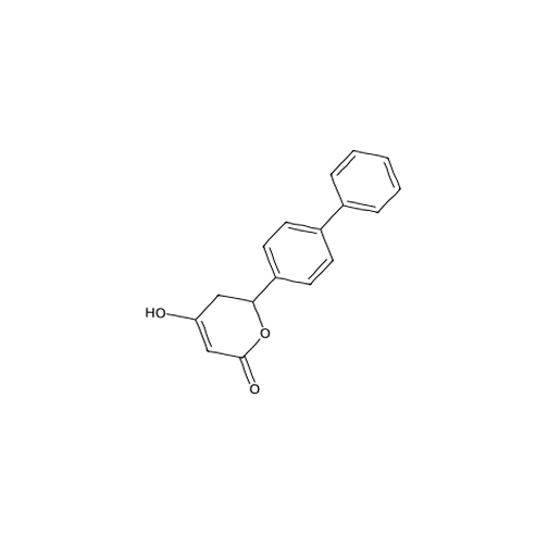 O=C1C=C(O)CC(c2ccc(-c3ccccc3)cc2)O1